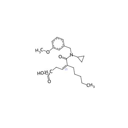 CC/C=C(/CCCCC)C(=O)N(Cc1cccc(OC)c1)C1CC1.O=CO